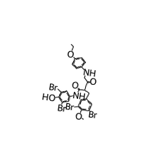 CCOc1ccc(NCC(=O)C(Cc2cc(Br)c(OC)c(Br)c2)C(=O)Nc2cc(Br)c(O)c(Br)c2)cc1